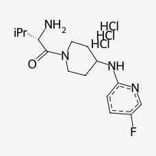 CC(C)[C@H](N)C(=O)N1CCC(Nc2ccc(F)cn2)CC1.Cl.Cl.Cl